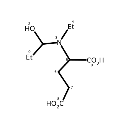 CCC(O)N(CC)C(CCC(=O)O)C(=O)O